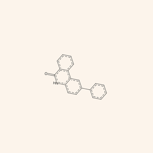 O=c1[nH]c2ccc(-c3ccccc3)cc2c2ccccc12